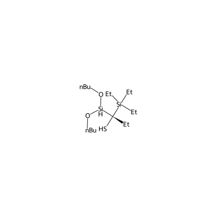 CCCCO[SiH](OCCCC)[C@](S)(CC)[Si](CC)(CC)CC